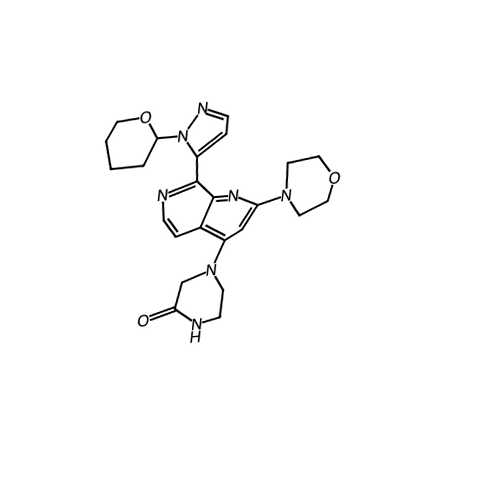 O=C1CN(c2cc(N3CCOCC3)nc3c(-c4ccnn4C4CCCCO4)nccc23)CCN1